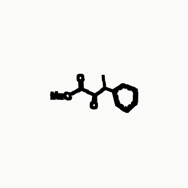 COC(=O)C(=O)C(C)c1ccccc1